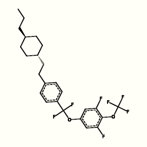 CCC[C@H]1CC[C@H](CCc2ccc(C(F)(F)Oc3cc(F)c(OC(F)(F)F)c(F)c3)cc2)CC1